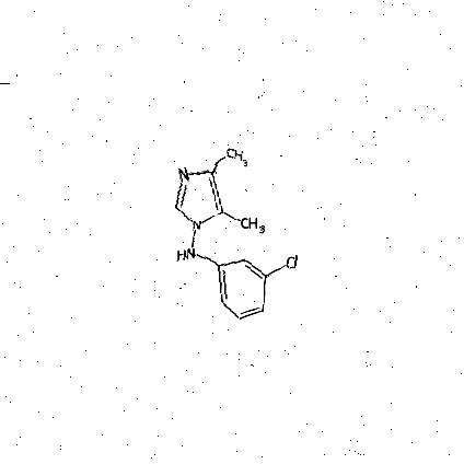 Cc1ncn(Nc2cccc(Cl)c2)c1C